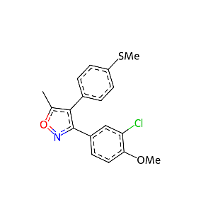 COc1ccc(-c2noc(C)c2-c2ccc(SC)cc2)cc1Cl